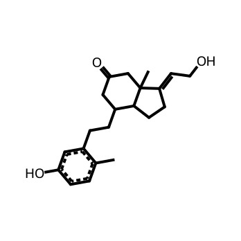 Cc1ccc(O)cc1CCC1CC(=O)CC2(C)C(=CCO)CCC12